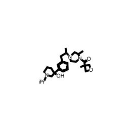 CC(C)N1CCCC(O)(c2cccc(CC(C)N3CCN(C(=O)C4(C)COC4)C(C)C3)c2)C1